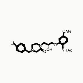 COc1ccc(NC(C)=O)c(OC[C@H](O)CN2CCN(Cc3ccc(Cl)cc3)CC2=O)c1